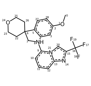 COc1ccc(C2(CNc3cccc4nc(C(F)(F)F)cn34)CCOCC2)cc1